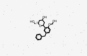 OCOc1ccc(Cc2ccccc2)cc1C1CC(O)C[C@@H](CO)O1